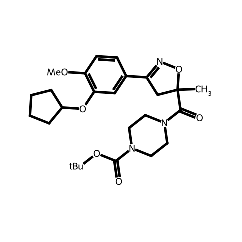 COc1ccc(C2=NOC(C)(C(=O)N3CCN(C(=O)OC(C)(C)C)CC3)C2)cc1OC1CCCC1